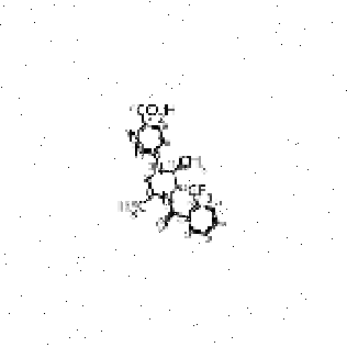 CC1CN(c2ccc(C(=O)O)nn2)C(C)CN1C(=O)c1ccccc1C(F)(F)F